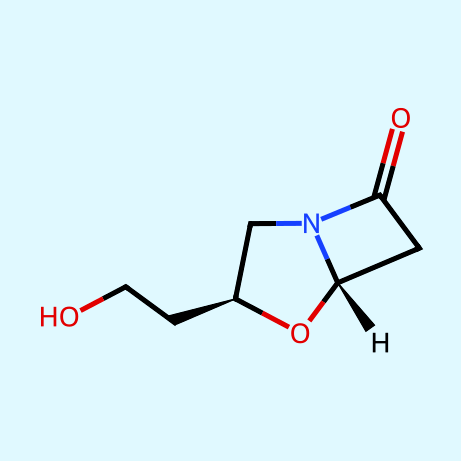 O=C1C[C@@H]2O[C@@H](CCO)CN12